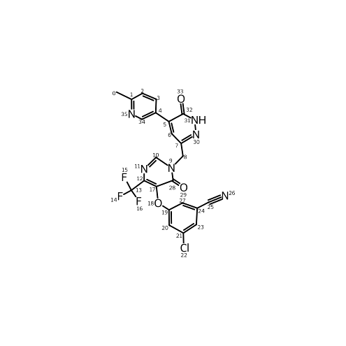 Cc1ccc(-c2cc(Cn3cnc(C(F)(F)F)c(Oc4cc(Cl)cc(C#N)c4)c3=O)n[nH]c2=O)cn1